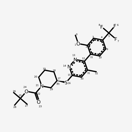 COc1cc(C(F)(F)F)ccc1-c1nnc(S[C@@H]2CCCN(C(=O)OC(C)(C)C)C2)cc1C